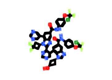 O=C(Nc1ccc(OC(F)(F)Cl)cc1)c1cc(-c2cncnc2)c2c(c1)nc(-c1ncncc1-c1cc(C(=O)Nc3ccc(OC(F)(F)Cl)cc3)cc3ncn([C@H]4C[C@H](O)C4)c13)n2C1CC(F)(F)C1